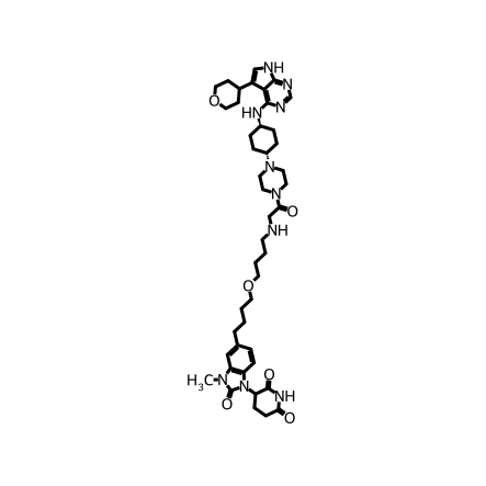 Cn1c(=O)n(C2CCC(=O)NC2=O)c2ccc(CCCCOCCCCNCC(=O)N3CCN([C@H]4CC[C@H](Nc5ncnc6[nH]cc(C7CCOCC7)c56)CC4)CC3)cc21